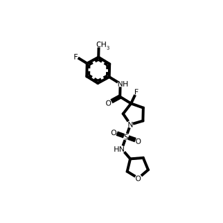 Cc1cc(NC(=O)C2(F)CCN(S(=O)(=O)NC3CCOC3)C2)ccc1F